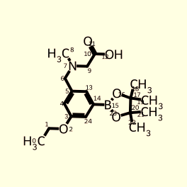 CCOc1cc(CN(C)CC(=O)O)cc(B2OC(C)(C)C(C)(C)O2)c1